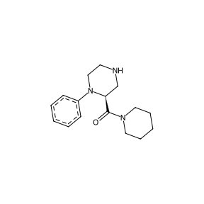 O=C([C@@H]1CNCCN1c1ccccc1)N1CCCCC1